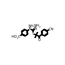 CC(C)(S/C(=N/N)N(N)c1ccc(C(=O)O)cc1)C(=O)c1ccc(C#N)cc1